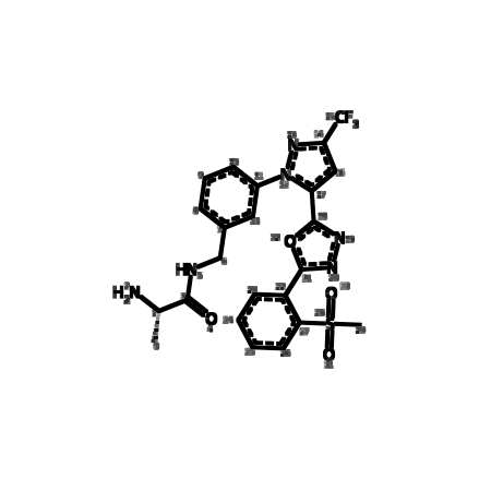 C[C@H](N)C(=O)NCc1cccc(-n2nc(C(F)(F)F)cc2-c2nnc(-c3ccccc3S(C)(=O)=O)o2)c1